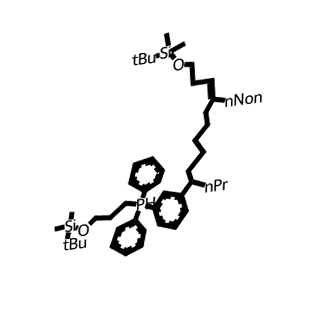 CCCCCCCCC/C(=C/CCO[Si](C)(C)C(C)(C)C)CCCCCC(CCC)c1cccc([PH](CCCO[Si](C)(C)C(C)(C)C)(c2ccccc2)c2ccccc2)c1